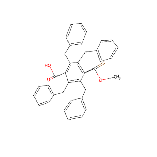 COC(=S)c1c(Cc2ccccc2)c(Cc2ccccc2)c(C(=O)O)c(Cc2ccccc2)c1Cc1ccccc1